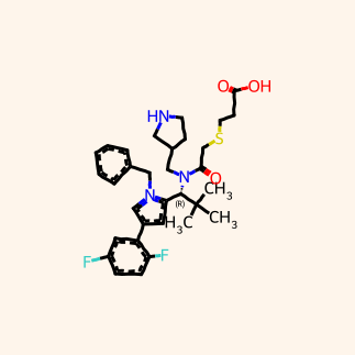 CC(C)(C)[C@H](c1cc(-c2cc(F)ccc2F)cn1Cc1ccccc1)N(CC1CCNC1)C(=O)CSCCC(=O)O